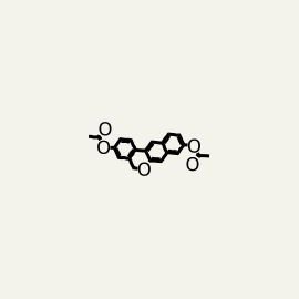 CC(=O)Oc1ccc2c(c1)COc1cc3cc(OC(C)=O)ccc3cc1-2